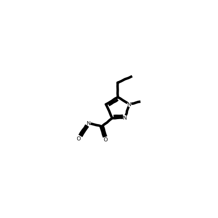 CCc1cc(C(=O)N=O)nn1C